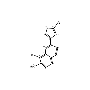 COc1ccc2[c]cc(-c3csc(C(C)C)n3)nc2c1Br